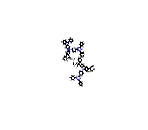 CC1(C)c2ccc(-c3cccc(-c4nc(-c5ccccc5)nc(-c5ccc(-n6c7cc8c(cc7c7cc9c%10ccccc%10n(-c%10ccccc%10)c9cc76)-c6ccccc6C8(C)C)cc5)n4)c3)cc2-c2cc3c4cc5c(cc4n(-c4ccc(-c6nc(-c7ccccc7)nc(-c7ccccc7)n6)cc4)c3cc21)sc1ccccc15